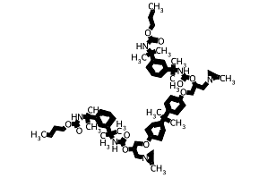 CCCCOC(=O)NC(C)(C)c1cccc(C(C)(C)NC(=O)OC(COc2ccc(C(C)(C)c3ccc(OCC(CN4CC4C)OC(=O)NC(C)(C)c4cccc(C(C)(C)NC(=O)OCCCC)c4)cc3)cc2)CN2CC2C)c1